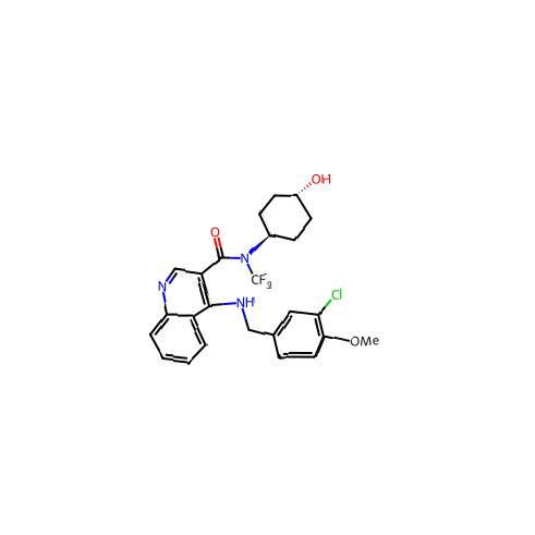 COc1ccc(CNc2c(C(=O)N([C@H]3CC[C@H](O)CC3)C(F)(F)F)cnc3ccccc23)cc1Cl